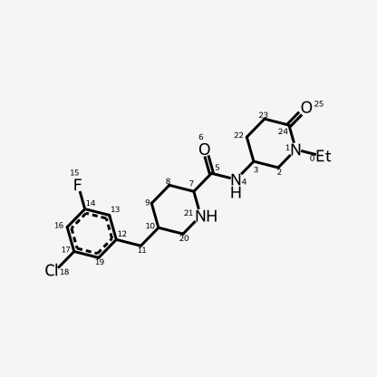 CCN1CC(NC(=O)C2CCC(Cc3cc(F)cc(Cl)c3)CN2)CCC1=O